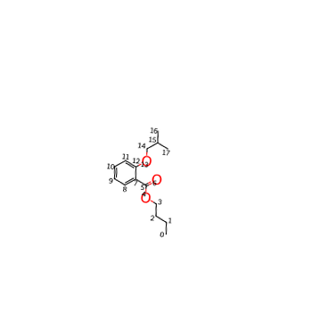 CCCCOC(=O)c1ccccc1OCC(C)C